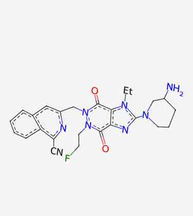 CCn1c(N2CCCC(N)C2)nc2c(=O)n(CCF)n(Cc3cc4ccccc4c(C#N)n3)c(=O)c21